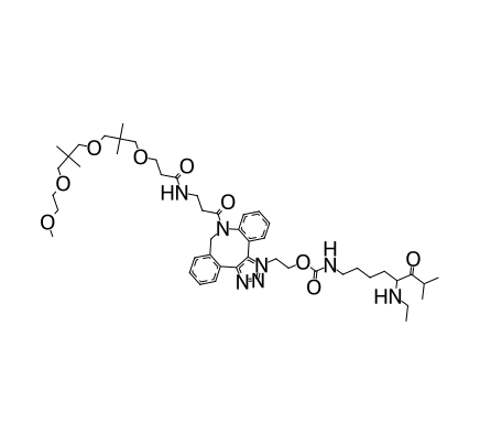 CCNC(CCCCNC(=O)OCCn1nnc2c1-c1ccccc1N(C(=O)CCNC(=O)CCOCC(C)(C)COCC(C)(C)COCCOC)Cc1ccccc1-2)C(=O)C(C)C